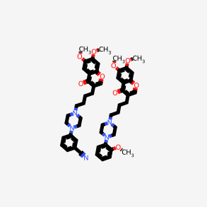 COc1cc2occ(CCCCN3CCN(c4cccc(C#N)c4)CC3)c(=O)c2cc1OC.COc1cc2occ(CCCCN3CCN(c4ccccc4OC)CC3)c(=O)c2cc1OC